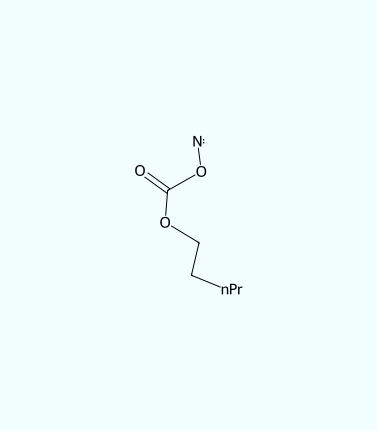 CCCCCOC(=O)O[N]